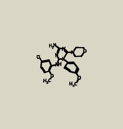 COc1ccc(N2C(N3CCOCC3)=NC(N)=NC2Nc2cc(Cl)ccc2OC)cc1